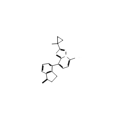 COc1ccc(-c2cccc3c2CCC3=O)c2nc(C3(C(=O)O)CC3)nn12